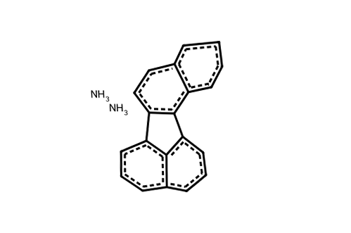 N.N.c1ccc2c3c(ccc2c1)-c1cccc2cccc-3c12